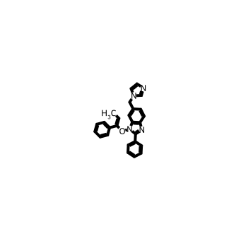 CC=C(On1c(-c2ccccc2)nc2ccc(Cn3ccnc3)cc21)c1ccccc1